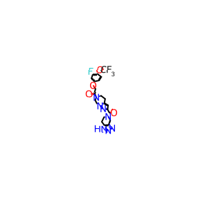 O=C(COc1ccc(OC(F)(F)F)c(F)c1)N1CCc2cc(C(=O)N3CCc4[nH]nnc4C3)nn2CC1